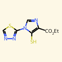 CCOC(=O)c1ncn(-c2nncs2)c1S